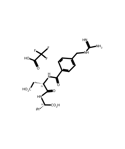 CC(C)[C@H](NC(=O)[C@H](CC(=O)O)NC(=O)c1ccc(CNC(=N)N)cc1)C(=O)O.O=C(O)C(F)(F)F